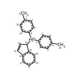 Cc1cc[c]([Hf]([c]2ccc(C)cc2)[CH]2C=Cc3ccccc32)cc1